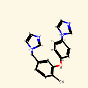 N#Cc1ccc(Cn2ccnc2)cc1Oc1ccc(-n2ccnc2)cc1